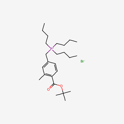 CCCC[P+](CCCC)(CCCC)Cc1ccc(C(=O)OC(C)(C)C)c(C)c1.[Br-]